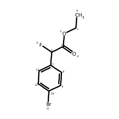 CCOC(=O)C(F)c1ccc(Br)cc1